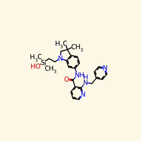 CC1(C)CN(CC[Si](C)(C)O)c2cc(NC(=O)c3cccnc3NCc3ccncc3)ccc21